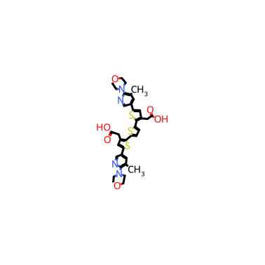 Cc1cc(-c2cc(CC(=O)O)c(-c3ccc(-c4sc(-c5cnc(N6CCOCC6)c(C)c5)cc4CC(=O)O)s3)s2)cnc1N1CCOCC1